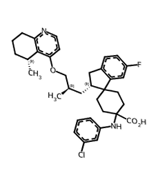 C[C@@H](COc1ccnc2c1[C@H](C)CCC2)C[C@@H]1Cc2ccc(F)cc2C12CCC(Nc1cccc(Cl)c1)(C(=O)O)CC2